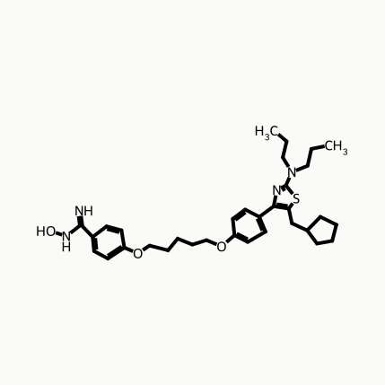 CCCN(CCC)c1nc(-c2ccc(OCCCCCOc3ccc(C(=N)NO)cc3)cc2)c(CC2CCCC2)s1